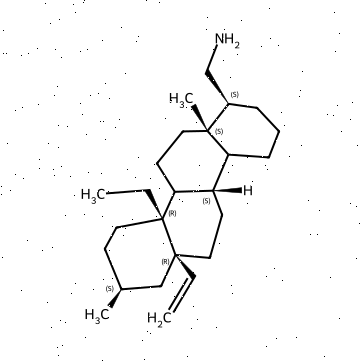 C=C[C@]12CC[C@@H]3C(CC[C@@]4(C)C3CCC[C@@H]4CN)[C@@]1(CC)CC[C@H](C)C2